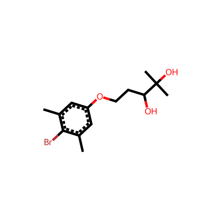 Cc1cc(OCCC(O)C(C)(C)O)cc(C)c1Br